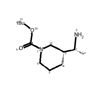 C[C@@H](N)[C@@H]1CCCN(C(=O)OC(C)(C)C)C1